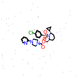 O=C(OC[C@@H]1CCC[C@H](C2CC2)N1S(=O)(=O)c1ccc(Cl)cc1)N1CCN(c2ccccn2)CC1